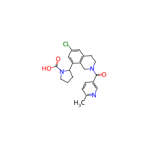 Cc1ccc(C(=O)N2CCc3cc(Cl)cc(C4CCCN4C(=O)O)c3C2)cn1